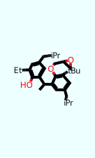 CCc1cc(CC(C)C)cc(C(C)c2cc(CC(C)C)cc(C(C)(C)C)c2OCC2CO2)c1O